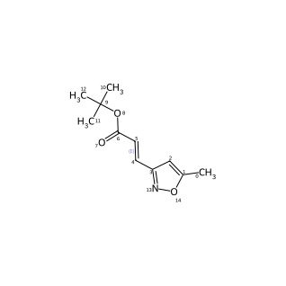 Cc1cc(/C=C/C(=O)OC(C)(C)C)no1